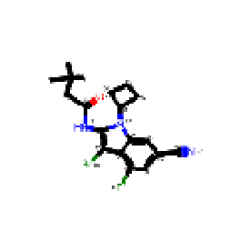 CC(C)(C)CC(=O)Nc1c(Br)c2c(F)cc(C#N)cc2n1C1CCC1